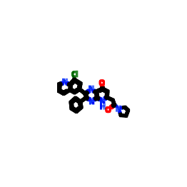 O=C(Cc1cc(=O)c2nc(-c3cc(Cl)c4ncccc4c3)c(-c3ccccc3)nc2[nH]1)N1CCCC1